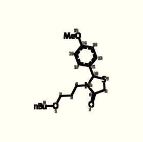 CCCCOCCCN1C(=O)CSC1c1ccc(OC)cc1